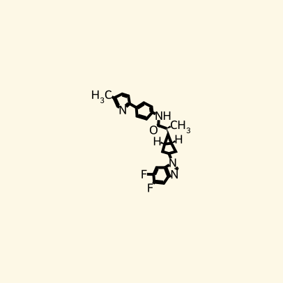 Cc1ccc(-c2ccc(NC(=O)[C@@H](C)[C@@H]3[C@@H]4CC(n5cnc6cc(F)c(F)cc65)C[C@@H]43)cc2)nc1